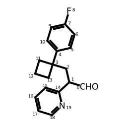 O=CC(CC1(c2ccc(F)cc2)CCC1)c1ccccn1